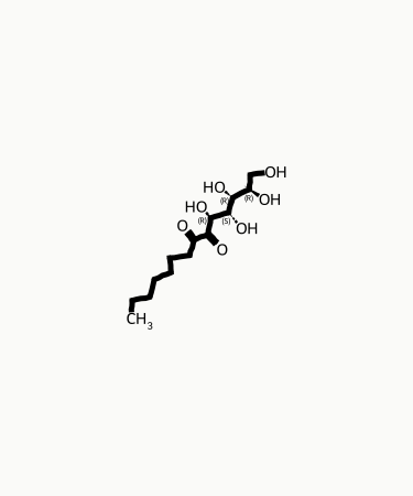 CCCCCCCC(=O)C(=O)[C@H](O)[C@@H](O)[C@H](O)[C@H](O)CO